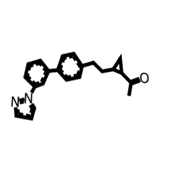 CC(=O)C1CC1CCc1ccc(-c2cccc(-n3cccn3)c2)cc1